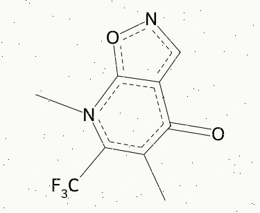 Cc1c(C(F)(F)F)n(C)c2oncc2c1=O